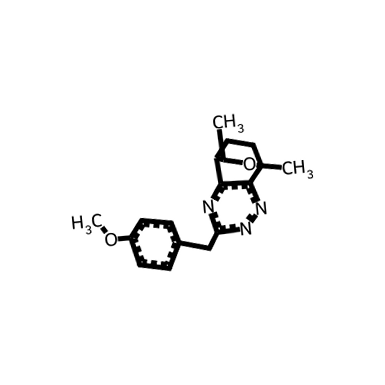 COc1ccc(Cc2nnc3c(n2)C2CCC3(C)OC2C)cc1